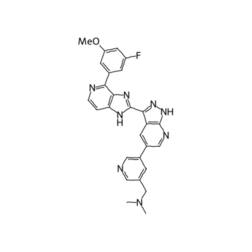 COc1cc(F)cc(-c2nccc3[nH]c(-c4n[nH]c5ncc(-c6cncc(CN(C)C)c6)cc45)nc23)c1